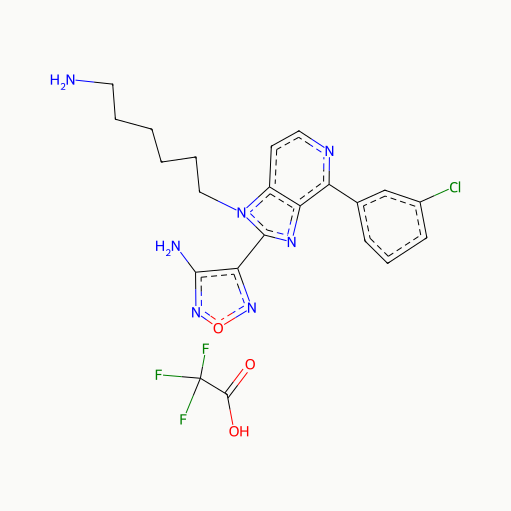 NCCCCCCn1c(-c2nonc2N)nc2c(-c3cccc(Cl)c3)nccc21.O=C(O)C(F)(F)F